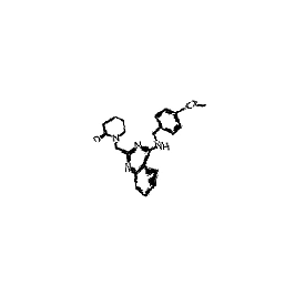 COc1ccc(CNc2nc(CN3CCCCC3=O)nc3ccccc23)cc1